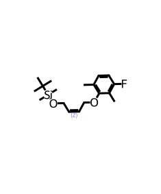 Cc1ccc(F)c(C)c1OC/C=C\CO[Si](C)(C)C(C)(C)C